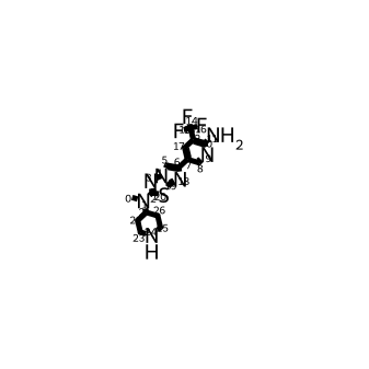 CN(c1nn2cc(-c3cnc(N)c(C(F)(F)F)c3)nc2s1)C1CCNCC1